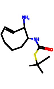 CC(C)(C)SC(=O)N[C@@H]1CCCC/C=C/C1N